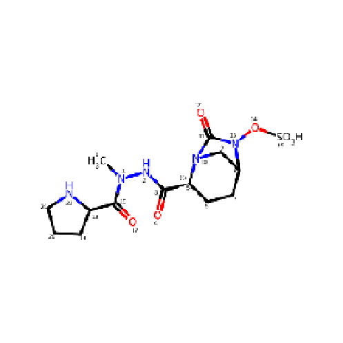 CN(NC(=O)[C@@H]1CCC2CN1C(=O)N2OS(=O)(=O)O)C(=O)C1CCCN1